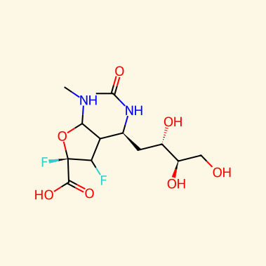 CNC1O[C@@](F)(C(=O)O)C(F)C1[C@H](C[C@H](O)[C@H](O)CO)NC(C)=O